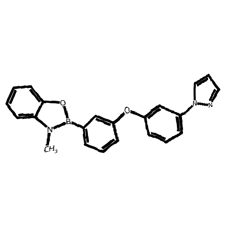 CN1B(c2cccc(Oc3cccc(-n4cccn4)c3)c2)Oc2ccccc21